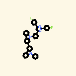 Fc1ccc(-c2cc(-c3cccc(-n4c5ccccc5c5ccc(-c6ccc7c(c6)c6ccccc6n7-c6ccccc6)cc54)c3)nc(-c3ccc(F)cc3)n2)cc1